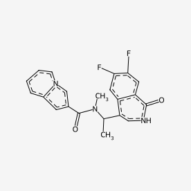 CC(c1c[nH]c(=O)c2cc(F)c(F)cc12)N(C)C(=O)c1cc2ccccn2c1